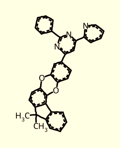 CC1(C)c2ccccc2-c2c1ccc1c2Oc2ccc(-c3cc(-c4ccccn4)nc(-c4ccccc4)n3)cc2O1